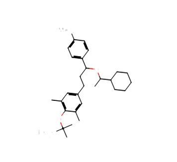 CSc1ccc(C(CCc2cc(C)c(OC(C)(C)C(=O)O)c(C)c2)OC(C)C2CCCCC2)cc1